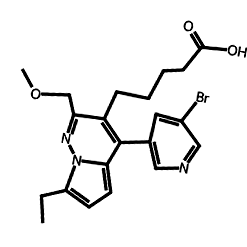 CCc1ccc2c(-c3cncc(Br)c3)c(CCCCC(=O)O)c(COC)nn12